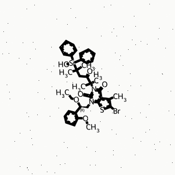 CCO[C@@H](Cn1c(=O)n(C(C)(C)C(=O)CC(C)(C)[Si](O)(c2ccccc2)c2ccccc2)c(=O)c2c(C)c(Br)sc21)c1ccccc1OC